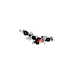 CCN(C(=O)OCc1ccc(C)cc1)c1cc2c(cc1C)C1(OC(=O)c3ccccc31)c1cc(C)c(N(CC)C(=O)OCc3ccc([N+](=O)[O-])cc3)cc1O2